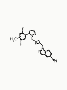 Cc1cc(F)c(C2CC=NN2CC23CC(Cn4ncc5cc(C#N)ccc54)(C2)C3)cc1F